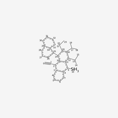 C#Cc1c2ccccc2c([SiH3])c2c(C(C)C)c(C(C)C)c(C(C)C)c(-c3cccc4ccccc34)c12